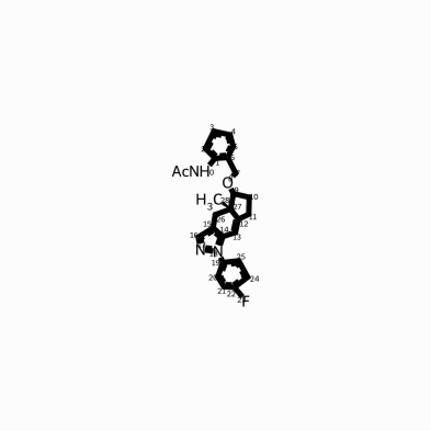 CC(=O)Nc1ccccc1COC1CCC2=Cc3c(cnn3-c3ccc(F)cc3)C[C@@]21C